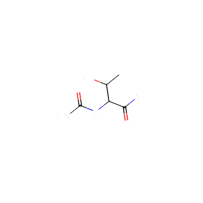 CNC(=O)NC(C(N)=O)C(C)O